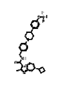 Cc1nc2cc(C3CCC3)ccn2c1C(=O)NCc1ccc(N2CCC(c3ccc(OC(F)(F)F)cc3)CC2)cc1